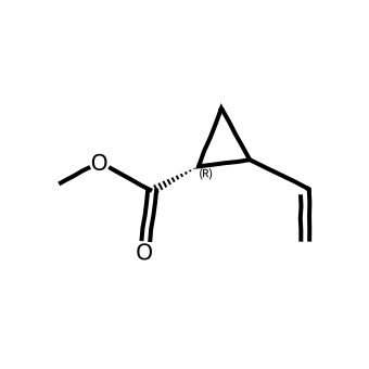 C=CC1C[C@H]1C(=O)OC